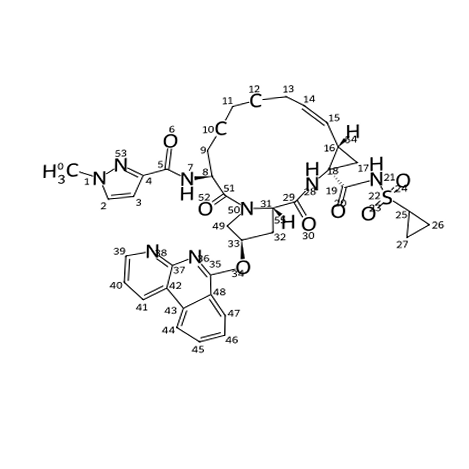 Cn1ccc(C(=O)N[C@H]2CCCCC/C=C\[C@@H]3C[C@@]3(C(=O)NS(=O)(=O)C3CC3)NC(=O)[C@@H]3C[C@@H](Oc4nc5ncccc5c5ccccc45)CN3C2=O)n1